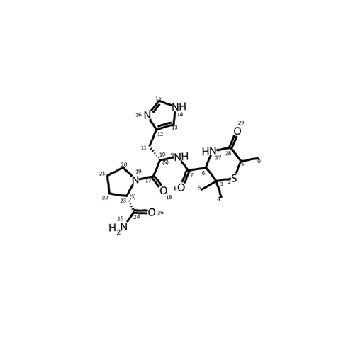 CC1SC(C)(C)C(C(=O)N[C@@H](Cc2c[nH]cn2)C(=O)N2CCC[C@H]2C(N)=O)NC1=O